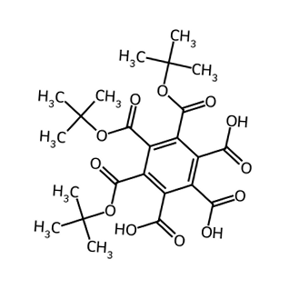 CC(C)(C)OC(=O)c1c(C(=O)O)c(C(=O)O)c(C(=O)O)c(C(=O)OC(C)(C)C)c1C(=O)OC(C)(C)C